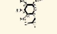 CS[C@H]1O[C@H](C[C@H](C)Cl)[C@H](O)[C@H](O)[C@H]1O